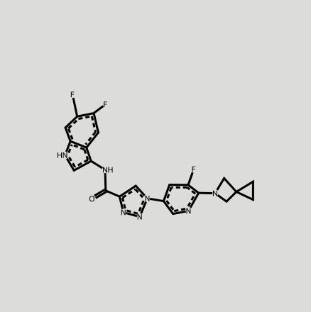 O=C(Nc1c[nH]c2cc(F)c(F)cc12)c1cn(-c2cnc(N3CC4(CC4)C3)c(F)c2)nn1